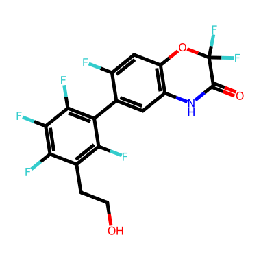 O=C1Nc2cc(-c3c(F)c(F)c(F)c(CCO)c3F)c(F)cc2OC1(F)F